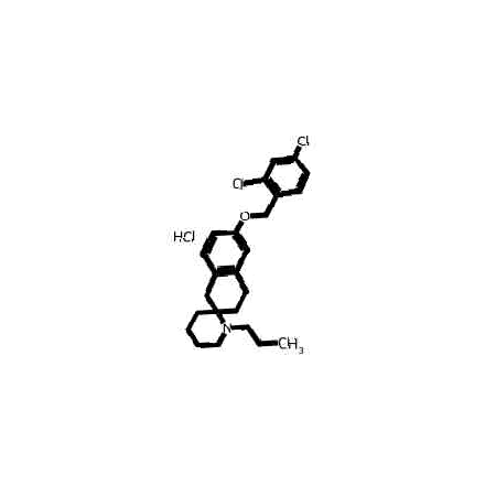 CCCN1CCCCC12CCc1cc(OCc3ccc(Cl)cc3Cl)ccc1C2.Cl